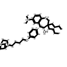 CCCCC1(CCCC)CSc2ccc(N(C)C)cc2[C@@H](c2ccc(OCCCC[N+]3=C4CN(CC3)C4)cc2)[C@H]1O